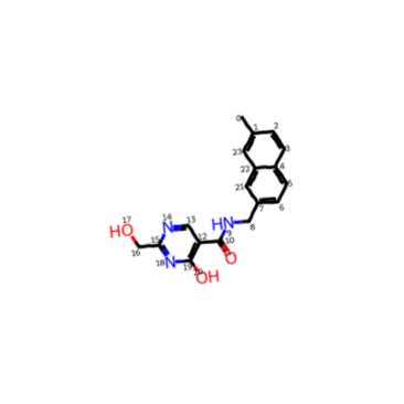 Cc1ccc2ccc(CNC(=O)c3cnc(CO)nc3O)cc2c1